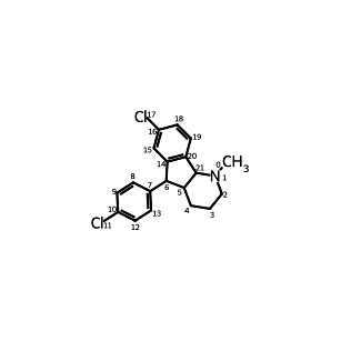 CN1CCCC2C(c3ccc(Cl)cc3)c3cc(Cl)ccc3C21